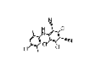 Cc1cc(Nc2c(Cl)c(Cl)c(C#N)c(Cl)c2C#N)c(C)cc1Cl